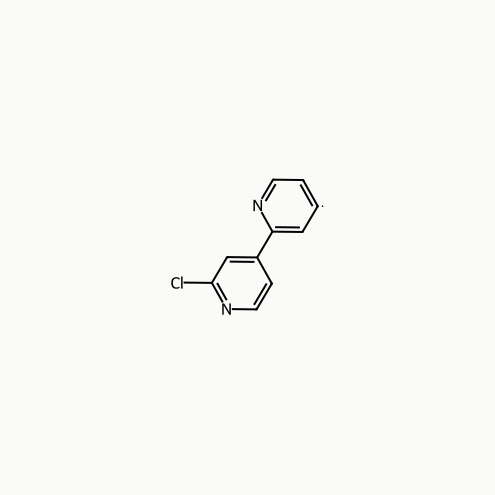 Clc1cc(-c2c[c]ccn2)ccn1